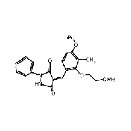 CCCOc1ccc(C=C2C(=O)NN(c3ccccc3)C2=O)c(OCCOC)c1C